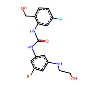 O=C(Nc1cc(Br)cc(NCCO)c1)Nc1cc(F)ccc1CO